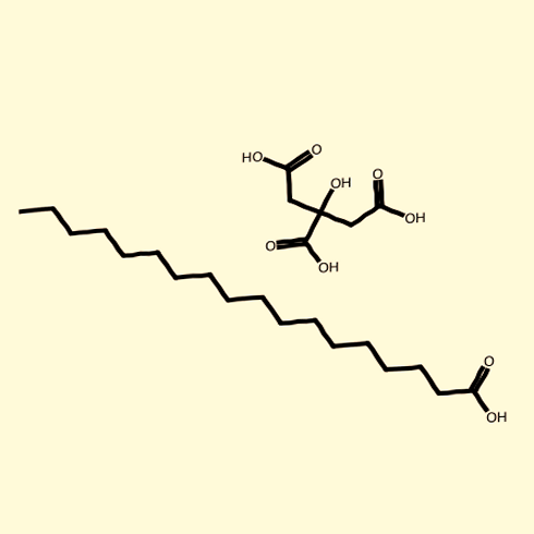 CCCCCCCCCCCCCCCCCC(=O)O.O=C(O)CC(O)(CC(=O)O)C(=O)O